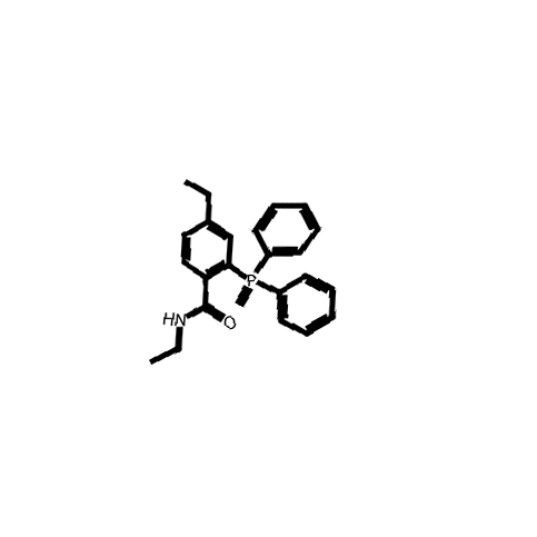 C=P(c1ccccc1)(c1ccccc1)c1cc(CC)ccc1C(=O)NCC